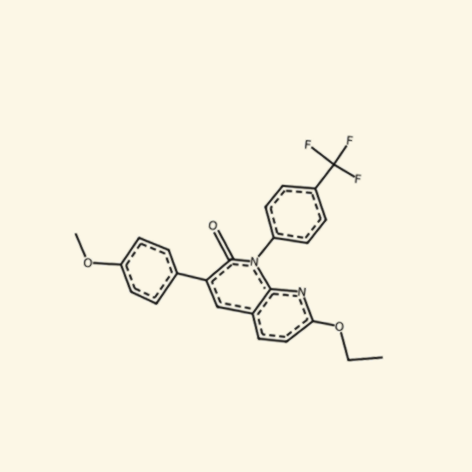 CCOc1ccc2cc(-c3ccc(OC)cc3)c(=O)n(-c3ccc(C(F)(F)F)cc3)c2n1